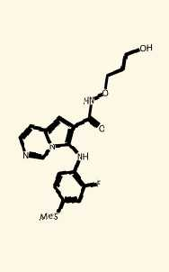 CSc1ccc(Nc2c(C(=O)NOCCCO)cc3ccncn23)c(F)c1